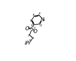 CC(C)CCS(=O)(=O)c1cccnc1